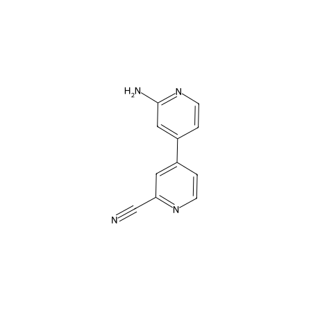 N#Cc1cc(-c2ccnc(N)c2)ccn1